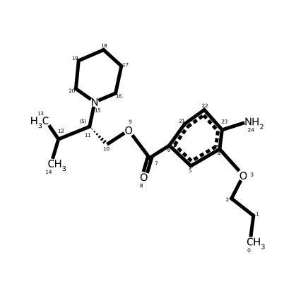 CCCOc1cc(C(=O)OC[C@H](C(C)C)N2CCCCC2)ccc1N